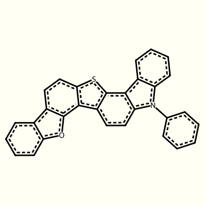 c1ccc(-n2c3ccccc3c3c4sc5ccc6c7ccccc7oc6c5c4ccc32)cc1